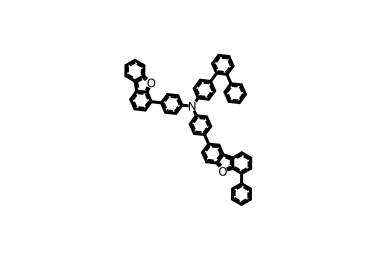 c1ccc(-c2ccccc2-c2ccc(N(c3ccc(-c4ccc5oc6c(-c7ccccc7)cccc6c5c4)cc3)c3ccc(-c4cccc5c4oc4ccccc45)cc3)cc2)cc1